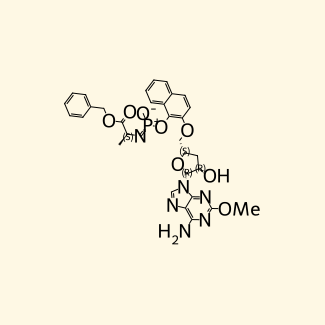 COc1nc(N)c2ncn([C@@H]3O[C@H](COc4ccc5ccccc5c4O[P+]([O-])=N[C@@H](C)C(=O)OCc4ccccc4)C[C@H]3O)c2n1